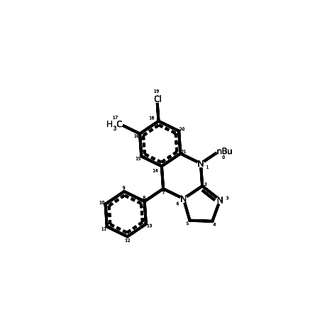 CCCCN1C2=NCCN2C(c2ccccc2)c2cc(C)c(Cl)cc21